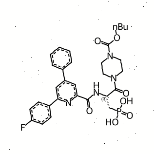 CCCCOC(=O)N1CCN(C(=O)[C@H](CP(=O)(O)O)NC(=O)c2cc(-c3ccccc3)cc(-c3ccc(F)cc3)n2)CC1